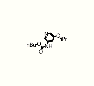 CCCCOC(=O)Nc1cncc(OC(C)C)c1